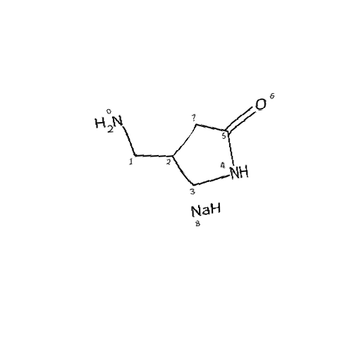 NCC1CNC(=O)C1.[NaH]